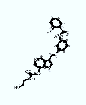 O=C(NCCO)Oc1cncc2c(COc3cccc(NC(=O)c4ccccc4F)c3)csc12